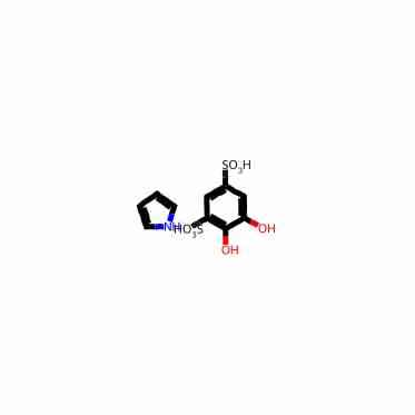 O=S(=O)(O)c1cc(O)c(O)c(S(=O)(=O)O)c1.c1cc[nH]c1